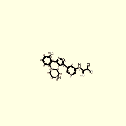 O=C(Nc1cncc(-c2cc(-c3c(Cl)cccc3N3CCNCC3)no2)c1)C(Cl)Cl